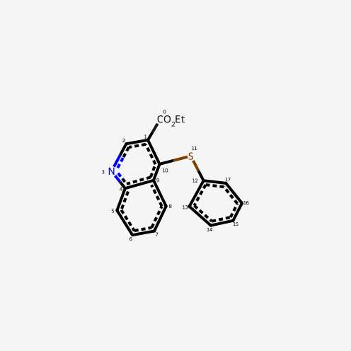 CCOC(=O)c1cnc2ccccc2c1Sc1ccccc1